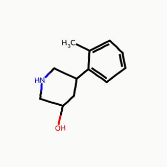 Cc1ccccc1C1CNCC(O)C1